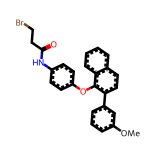 COc1cccc(-c2ccc3ccccc3c2Oc2ccc(NC(=O)CCBr)cc2)c1